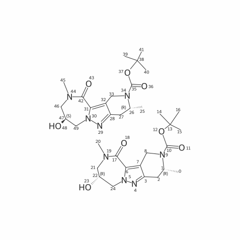 C[C@@H]1Cc2nn3c(c2CN1C(=O)OC(C)(C)C)C(=O)N(C)C[C@@H](O)C3.C[C@@H]1Cc2nn3c(c2CN1C(=O)OC(C)(C)C)C(=O)N(C)C[C@H](O)C3